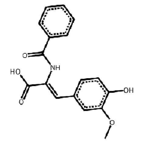 COc1cc(C=C(NC(=O)c2ccccc2)C(=O)O)ccc1O